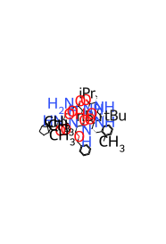 CCCCC(NC(=O)[C@H](CC(C)C)NC(=O)[C@@H](NC(=O)[C@H](Cc1ccccc1C)NC(=O)[C@@H](COCc1ccccc1)NC(=O)[C@H](CO)NC(=O)C1CC2CCC1(C)C2(C)C)C(C)(C)C)C(=O)C(N)=O